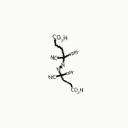 CCCC(C#N)(CCC(=O)O)/N=N/C(C#N)(CCC)CCC(=O)O